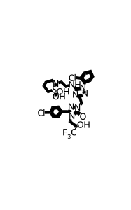 O=c1n(Cc2nc(NCCN3CCCCS3(O)O)n(-c3ccccc3Cl)n2)nc(-c2ccc(Cl)cc2)n1C[C@H](O)C(F)(F)F